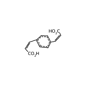 O=C(O)/C=C\c1ccc(/C=C\C(=O)O)cc1